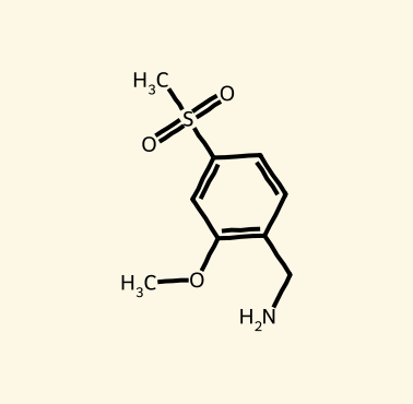 COc1cc(S(C)(=O)=O)ccc1CN